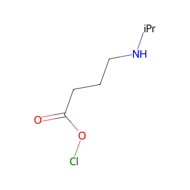 CC(C)NCCCC(=O)OCl